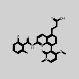 COc1ccn(C)c(=O)c1-c1ccc(CCC(=O)O)c2ccc(NC(=O)c3c(F)cccc3F)nc12